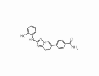 N#Cc1ccccc1Nc1nc2ccc(-c3ccc(C(N)=O)cc3)cn2n1